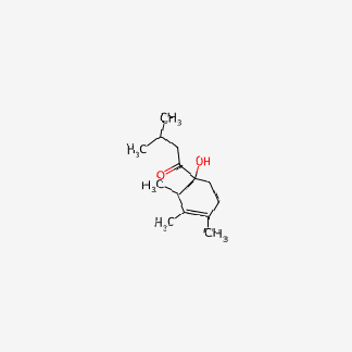 CC1=C(C)C(C)C(O)(C(=O)CC(C)C)CC1